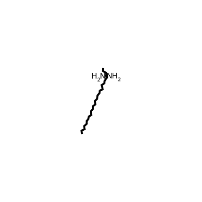 CCCCCCCCCCCCCCCCCCCCCCCC(N)(N)CCC